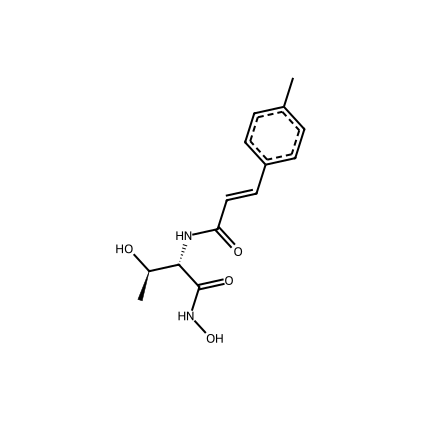 Cc1ccc(/C=C/C(=O)N[C@H](C(=O)NO)[C@@H](C)O)cc1